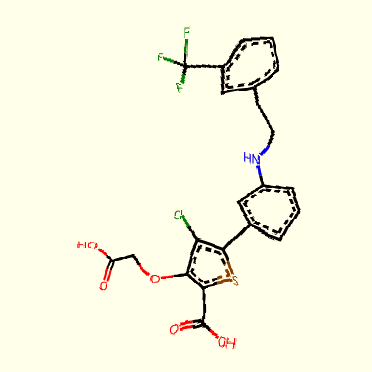 O=C(O)COc1c(C(=O)O)sc(-c2cccc(NCc3cccc(C(F)(F)F)c3)c2)c1Cl